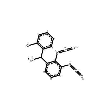 CC(c1ccccc1Cl)c1cccc(N=C=O)c1N=C=O